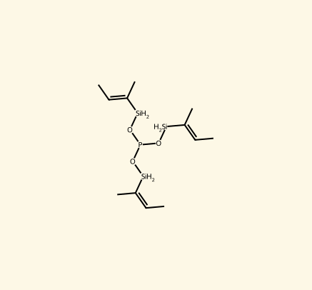 CC=C(C)[SiH2]OP(O[SiH2]C(C)=CC)O[SiH2]C(C)=CC